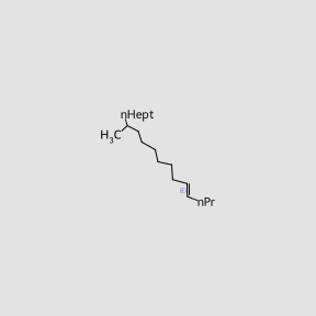 [CH2]CC/C=C/CCCCCCC(C)CCCCCC[CH2]